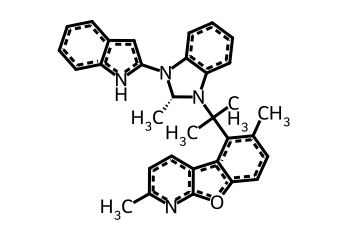 Cc1ccc2c(n1)oc1ccc(C)c(C(C)(C)N3c4ccccc4N(c4cc5ccccc5[nH]4)[C@H]3C)c12